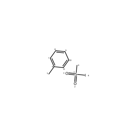 CS(=O)(=O)I.Cc1ccccc1